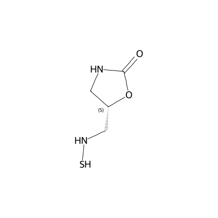 O=C1NC[C@@H](CNS)O1